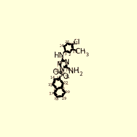 Cc1cc(Nc2nc(N)n(S(=O)(=O)c3ccc4ccccc4c3)n2)ccc1Cl